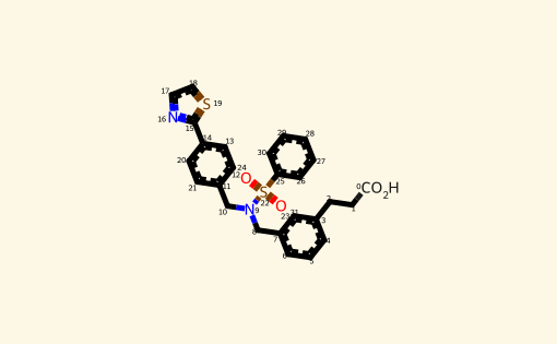 O=C(O)CCc1cccc(CN(Cc2ccc(-c3nccs3)cc2)S(=O)(=O)c2ccccc2)c1